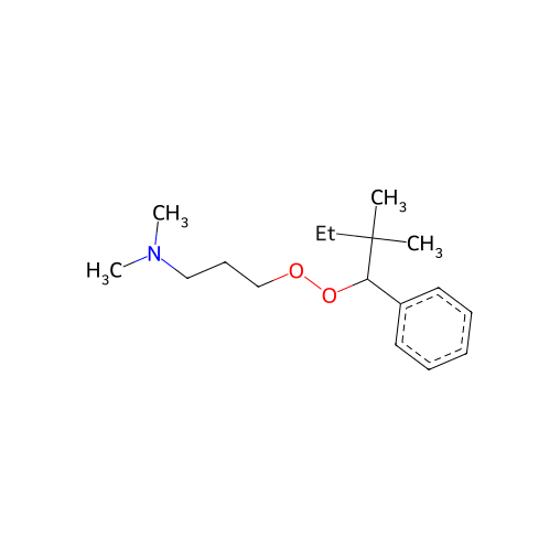 CCC(C)(C)C(OOCCCN(C)C)c1ccccc1